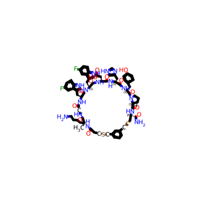 C[C@@]1(CCCCN)NC(=O)CCSCc2cccc(c2)CSC[C@@H](C(N)=O)NC(=O)[C@@H]2CCCN2C(=O)[C@H](Cc2ccc(O)cc2)NC(=O)[C@H](Cc2c[nH]cn2)NC(=O)[C@H](CC(=O)O)NC(=O)[C@H](Cc2c[nH]c3ccc(F)cc23)NC(=O)[C@H](Cc2c[nH]c3ccc(F)cc23)NC(=O)CNC1=O